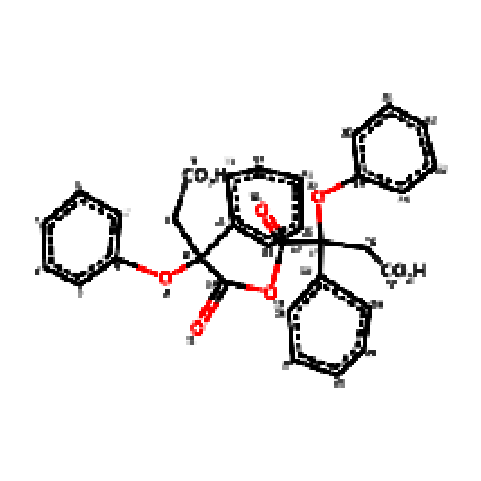 O=C(O)CC(Oc1ccccc1)(C(=O)OC(=O)C(CC(=O)O)(Oc1ccccc1)c1ccccc1)c1ccccc1